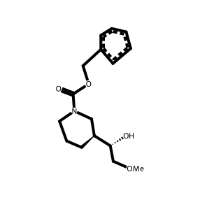 COC[C@@H](O)[C@H]1CCCN(C(=O)OCc2ccccc2)C1